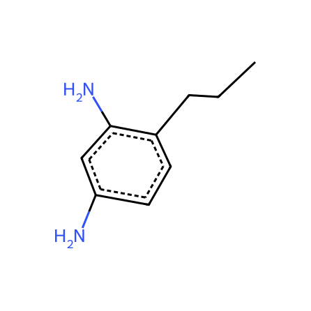 CCCc1ccc(N)cc1N